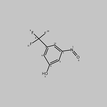 O=Nc1cc(O)cc(C(F)(F)F)c1